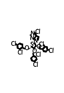 Clc1ccc(COC[C@@H]2S[C@H](n3ccc4c(Cl)ncnc43)[C@@H](OCc3ccc(Cl)cc3Cl)[C@@H]2OCc2ccc(Cl)cc2Cl)c(Cl)c1